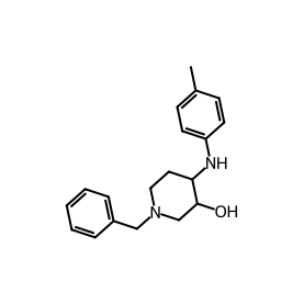 Cc1ccc(NC2CCN(Cc3ccccc3)CC2O)cc1